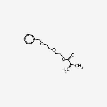 C=C(C)C(=O)OCCOCCOCc1ccccc1